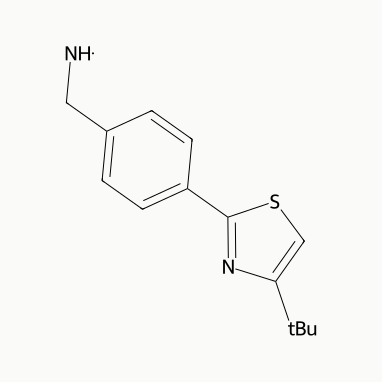 CC(C)(C)c1csc(-c2ccc(C[NH])cc2)n1